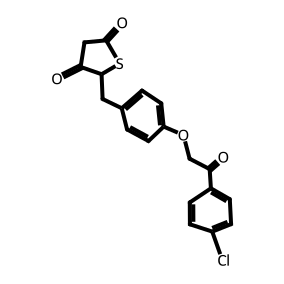 O=C1CC(=O)C(Cc2ccc(OCC(=O)c3ccc(Cl)cc3)cc2)S1